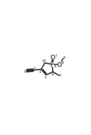 C#CC1=CC(C)P(=O)(OC)C1